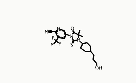 CC1(C)C(=O)N(c2cnc(C#N)c(C(F)(F)F)c2)C(=S)N1C1CCC(CCCO)CC1